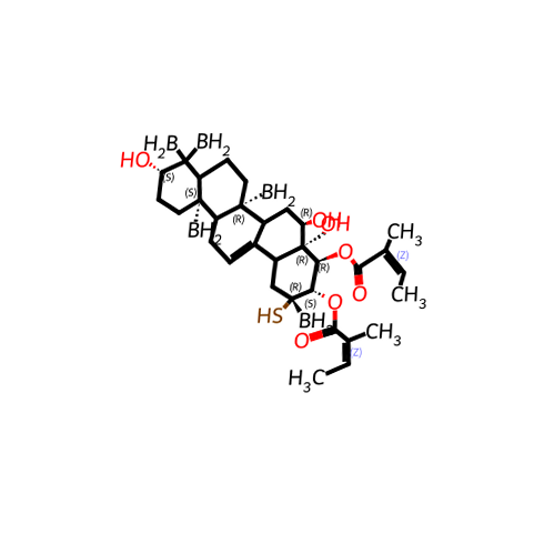 BC1(B)C2CC[C@@]3(B)C4C[C@@H](O)[C@]5(CO)C(C[C@@](B)(S)[C@@H](OC(=O)/C(C)=C\C)[C@@H]5OC(=O)/C(C)=C\C)C4=CCC3[C@@]2(B)CC[C@@H]1O